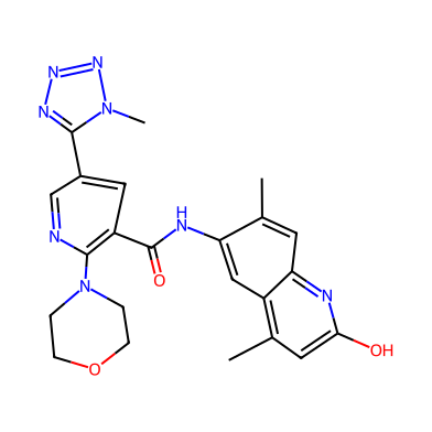 Cc1cc2nc(O)cc(C)c2cc1NC(=O)c1cc(-c2nnnn2C)cnc1N1CCOCC1